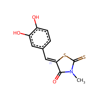 CN1C(=O)/C(=C/c2ccc(O)c(O)c2)SC1=S